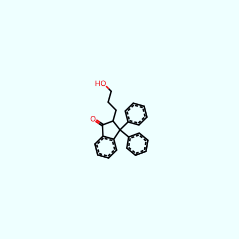 O=C1c2ccccc2C(c2ccccc2)(c2ccccc2)C1CCCO